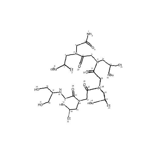 CCCCC(CC)CN(CC(N)=O)C(=O)CN(CC(CC)CCCC)C(=O)CN(CC(CC)CCCC)C(=O)CN(CC(CC)CCCC)C(=O)CNC(CO)CO